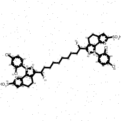 O=S(=O)(O)c1cc2c(s1)-c1c(c(C(F)CCCCCCCCC(F)c3nn(-c4ccc(Cl)cc4Cl)c4c3CCc3cc(S(=O)(=O)O)sc3-4)nn1-c1ccc(Cl)cc1Cl)CC2